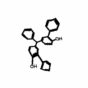 Oc1ccc(C(c2ccccc2)c2ccc(O)c(-c3ccccc3)c2)cc1-c1ccccc1